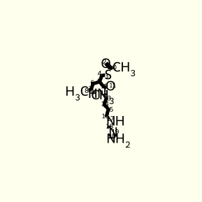 CC(=O)SCC(CC(C)C)C(=O)NCCCCNC=NN